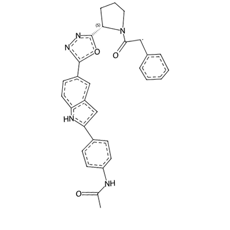 CC(=O)Nc1ccc(-c2cc3cc(-c4nnc([C@@H]5CCCN5C(=O)[CH]c5ccccc5)o4)ccc3[nH]2)cc1